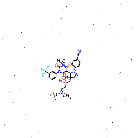 Cc1c(C2N(c3ccc(C#N)cc3)N=CC2(CCCCN(C)C)C(=O)O)c(=O)n(C)c(=O)n1-c1cccc(C(F)(F)F)c1